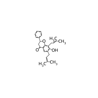 CC(C)=CCc1cc2c(c(CC=C(C)C)c1O)OC(c1ccccc1)CC2=O